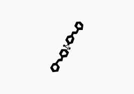 C[Si](C)(c1ccc(/C=C/c2ccccc2)cc1)c1ccc(/C=C/c2ccccc2)cc1